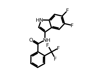 O=C(Nc1c[nH]c2cc(F)c(F)cc12)c1ccccc1C(F)(F)F